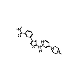 CN1CCN(c2ccnc(Nc3ncc(-c4cccc(C(=O)N(C)C)c4)s3)c2)CC1